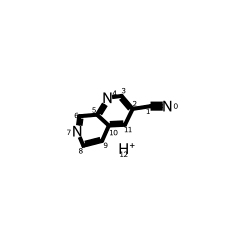 N#Cc1cnc2cnccc2c1.[H+]